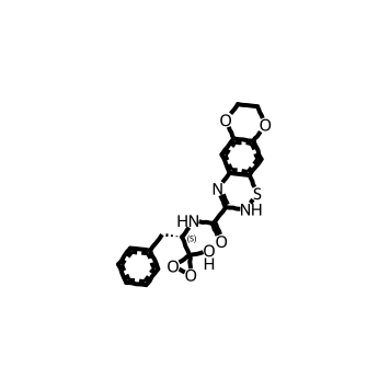 O=C(N[C@@H](Cc1ccccc1)C1(O)OO1)C1=Nc2cc3c(cc2SN1)OCCO3